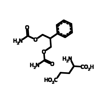 NC(=O)OCC(COC(N)=O)c1ccccc1.NC(CCC(=O)O)C(=O)O